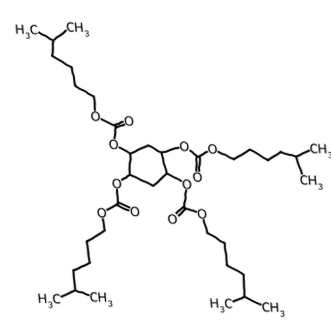 CC(C)CCCCOC(=O)OC1CC(OC(=O)OCCCCC(C)C)C(OC(=O)OCCCCC(C)C)CC1OC(=O)OCCCCC(C)C